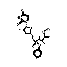 CC(C)OC(=O)[C@@H](C)NP(=O)(OC[C@@H]1C[C@H](C)[C@H](n2ccc(=O)[nH]c2=O)O1)Oc1ccccc1